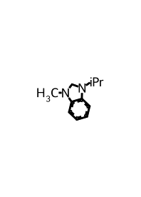 CC(C)N1CN(C)c2ccccc21